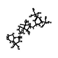 CC(C)(O)[C@]1(C(=O)NCc2cc(C(F)(F)F)cc(C(F)(F)F)c2)CC[C@@H](NC2CCOCC2C(F)(F)F)C1